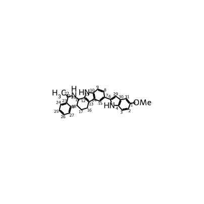 COc1ccc2[nH]c(-c3ccc4[nH]c5c(c4c3)CCCC5NC(C)c3ccccc3)cc2c1